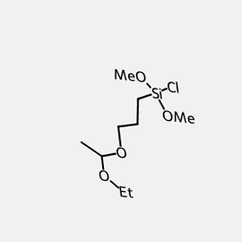 CCOC(C)OCCC[Si](Cl)(OC)OC